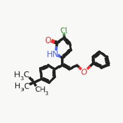 CC(C)(C)c1ccc(C(=CCOc2ccccc2)c2ccc(Cl)c(=O)[nH]2)cc1